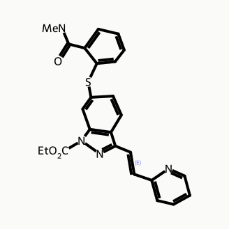 CCOC(=O)n1nc(/C=C/c2ccccn2)c2ccc(Sc3ccccc3C(=O)NC)cc21